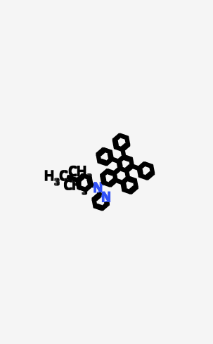 CC(C)(C)C1=CC=C(N(c2ccc3c(c2)c2ccccc2c2c(C4=CC=CCC4)cc(C4=CCCC=C4)c(-c4ccccc4)c32)c2ccccn2)CC1